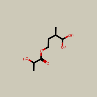 CC(O)C(=O)OCCC(C)C(O)O